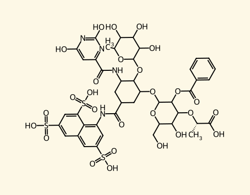 CC1OC(OC2C(NC(=O)c3cc(O)nc(O)n3)CC(C(=O)Nc3cc(S(=O)(=O)O)cc4cc(S(=O)(=O)O)cc(S(=O)(=O)O)c34)CC2OC2OC(CO)C(O)C(O[C@@H](C)C(=O)O)C2OC(=O)c2ccccc2)C(O)C(O)C1O